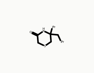 CC(C)CC1(C(C)C)CSCC(=O)N1